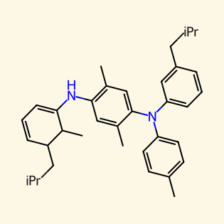 Cc1ccc(N(c2cccc(CC(C)C)c2)c2cc(C)c(NC3=CC=CC(CC(C)C)C3C)cc2C)cc1